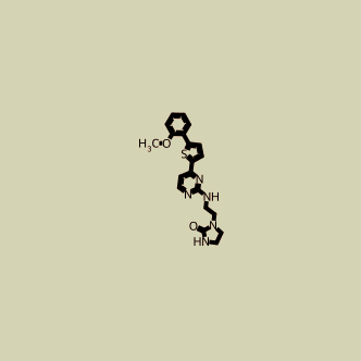 COc1ccccc1-c1ccc(-c2ccnc(NCCN3CCNC3=O)n2)s1